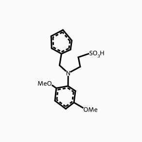 COc1ccc(OC)c(N(CCS(=O)(=O)O)Cc2ccccc2)c1